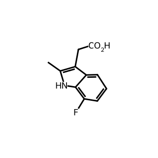 Cc1[nH]c2c(F)cccc2c1CC(=O)O